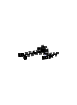 CCCCC(C)(C)C(O)/C=C/[C@H]1[C@@H](CCCSCCCCC(=O)O)[C@H]2CC[C@@H]1O2